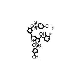 Cc1ccc(S(=O)(=O)Oc2cccc(-c3cnc4c(c3)c(C(O)c3cccc(F)c3)cn4S(=O)(=O)c3ccc(C)cc3)c2)cc1